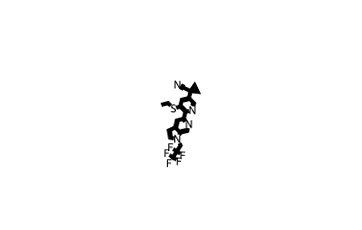 CCSc1cc(C2(C#N)CC2)cnc1-c1cc2ccn(CC(F)(F)C(F)(F)F)c2cn1